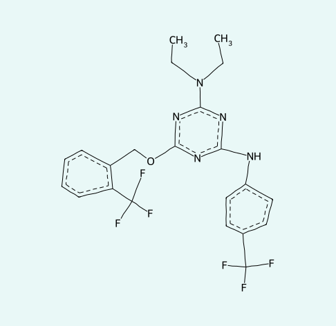 CCN(CC)c1nc(Nc2ccc(C(F)(F)F)cc2)nc(OCc2ccccc2C(F)(F)F)n1